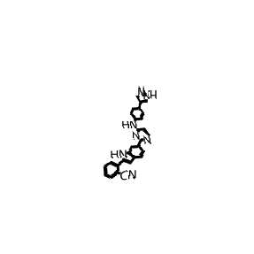 N#Cc1ccccc1-c1cc2ccc(-c3nccc(Nc4ccc(-c5cn[nH]c5)cc4)n3)cc2[nH]1